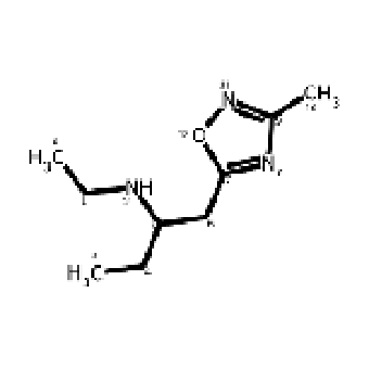 CCNC(CC)Cc1nc(C)no1